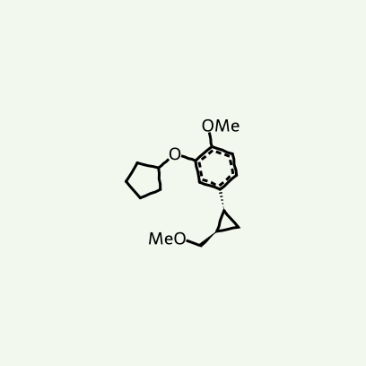 COC[C@@H]1C[C@H]1c1ccc(OC)c(OC2CCCC2)c1